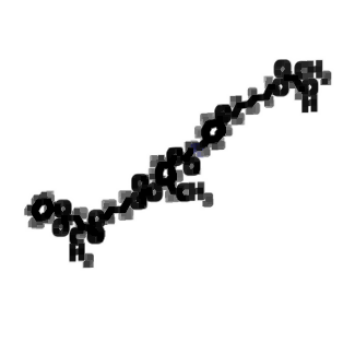 C=C(CO)C(=O)OCCCCCCOc1ccc(/C=C/C(=O)Oc2ccc(OC(=O)OCCCCOC(=O)C(=C)CC(=O)OC3CCCCC3)c(CC)c2)cc1